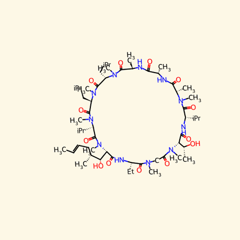 C/C=C/C[C@@H](C)[C@@H](O)[C@H]1C(=O)N[C@@H](CC)C(=O)N(C)CC(=O)N(C)[C@@H]([C@@H](C)O)C(=O)N[C@@H](C(C)C)C(=O)N(C)[C@@H](C)C(=O)N[C@@H](C)C(=O)N[C@H](C)C(=O)N(C)[C@@H](CC(C)C)C(=O)N(C)[C@H](CC(C)C)C(=O)N(C)[C@@H](C(C)C)C(=O)N1C